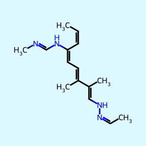 C\C=C/C(=C\C=C(C)\C(C)=C\N/N=C\C)N/C=N/C